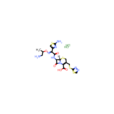 CC(CN)ON=C(C(=O)NC1C(=O)N2C(C(=O)O)=C(CSc3nncs3)CS[C@@H]12)c1csc(N)n1.Cl.Cl